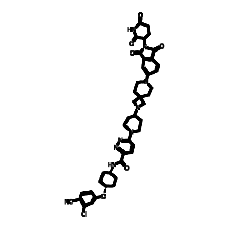 N#Cc1ccc(O[C@H]2CC[C@H](NC(=O)c3ccc(N4CCC(N5CC6(CCN(c7ccc8c(c7)C(=O)N(C7CCC(=O)NC7=O)C8=O)CC6)C5)CC4)nn3)CC2)cc1Cl